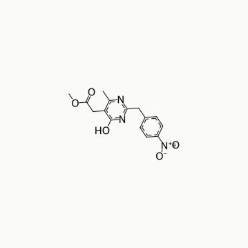 COC(=O)Cc1c(C)nc(Cc2ccc([N+](=O)[O-])cc2)nc1O